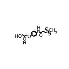 CS(=O)(=O)CCC(=O)Nc1ccc(OCC(O)CO)cc1